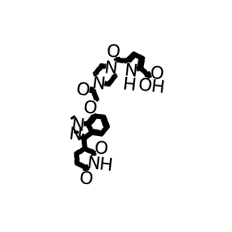 Cn1nc(C2CCC(=O)NC2=O)c2cccc(OCC(=O)N3CCN(C(=O)c4ccc(C(=O)O)[nH]4)CC3)c21